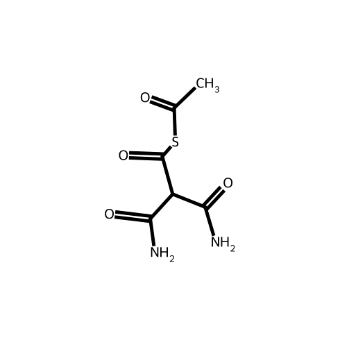 CC(=O)SC(=O)C(C(N)=O)C(N)=O